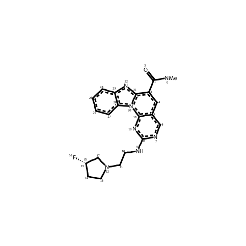 CNC(=O)c1cc2cnc(NCCN3CC[C@H](F)C3)nc2n2c1nc1ccccc12